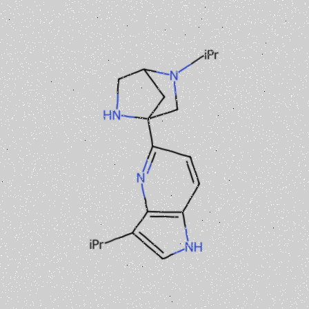 CC(C)c1c[nH]c2ccc(C34CC(CN3)N(C(C)C)C4)nc12